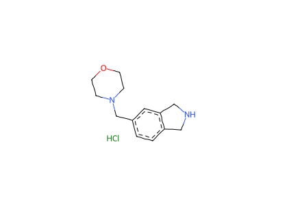 Cl.c1cc2c(cc1CN1CCOCC1)CNC2